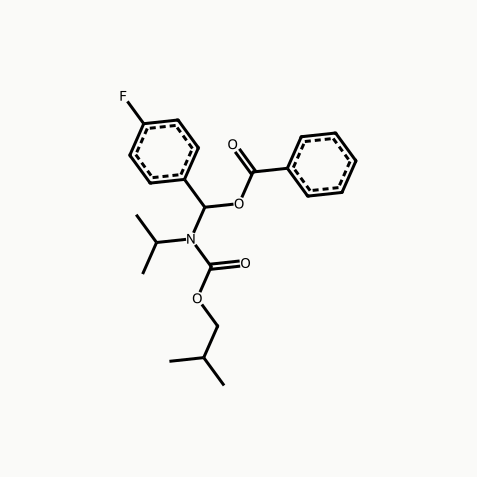 CC(C)COC(=O)N(C(C)C)C(OC(=O)c1ccccc1)c1ccc(F)cc1